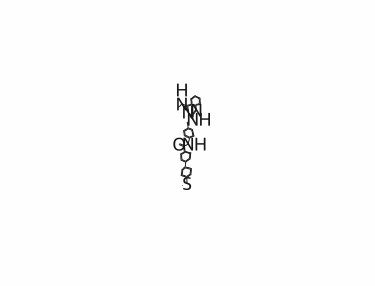 CNc1nc(NCc2ccc(NC(=O)c3ccc(-c4ccc(SC)cc4)cc3)cc2)nc2ccccc12